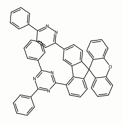 c1ccc(-c2ccc(-c3ccc4c(c3)-c3c(-c5nc(-c6ccccc6)nc(-c6ccccc6)n5)cccc3C43c4ccccc4Oc4ccccc43)nn2)cc1